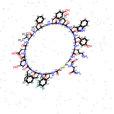 CCCC[C@H]1C(=O)N2C[C@H](O)C[C@@H]2C(=O)N[C@@H](CC(=O)O)C(=O)N[C@@H](C(C)C)C(=O)N(C)C(Cc2ccccc2)C(=O)CN[C@@H](Cc2ccc(O)cc2)C(=O)N2C[C@H](O)CC2C(=O)N[C@@H](Cc2c[nH]c3ccccc23)C(=O)N[C@@H](Cc2ccc(O)cc2)C(O)N[C@@H](CCCN)C(=O)N[C@H](C(=O)NCC(N)=O)CSCC(=O)N[C@@H](Cc2cc(F)c(F)c(F)c2)C(=O)N(C)[C@@H](Cc2ccccc2)C(=O)N1C